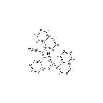 N#C/C(=C\c1ccccc1/C=C(\C#N)c1cccc2ccccc12)c1cccc2ccccc12